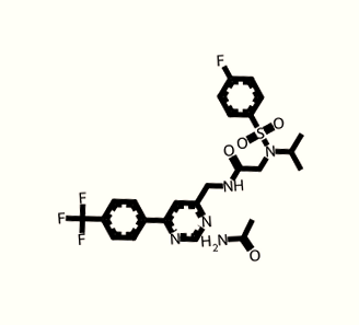 CC(C)N(CC(=O)NCc1cc(-c2ccc(C(F)(F)F)cc2)ncn1)S(=O)(=O)c1ccc(F)cc1.CC(N)=O